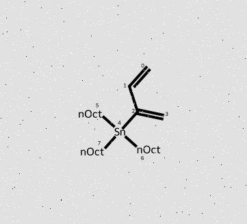 C=C[C](=C)[Sn]([CH2]CCCCCCC)([CH2]CCCCCCC)[CH2]CCCCCCC